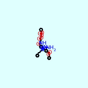 N=C(N)c1cc(C(=O)OCc2ccccc2)ccc1-c1nc2cc(C(=O)NCCC(=O)OCOC(=O)OC3CCCCC3)ccc2n1CCCCc1ccccc1